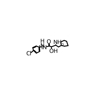 N[C@H](CC1CCCCC1)C(O)C(=O)NNc1ccc(Cl)cc1